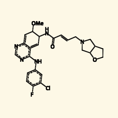 COC1C=c2ncnc(Nc3ccc(F)c(Cl)c3)c2=CC1NC(=O)/C=C/CN1CC2CCOC2C1